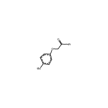 CC(C)C(=O)COc1ccc(C(C)(C)C)cc1